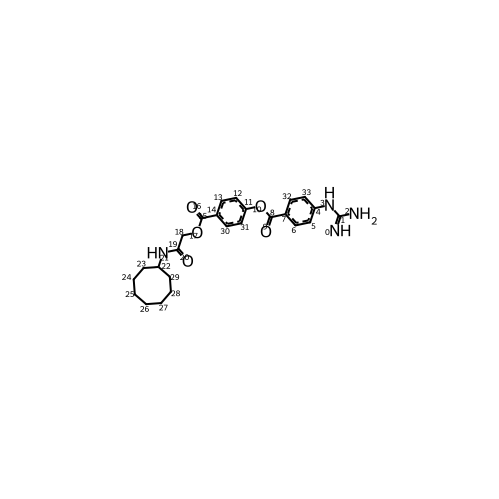 N=C(N)Nc1ccc(C(=O)Oc2ccc(C(=O)OCC(=O)NC3CCCCCCC3)cc2)cc1